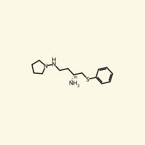 N[C@H](CCNN1CCCC1)CSc1ccccc1